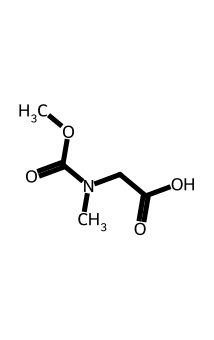 COC(=O)N(C)CC(=O)O